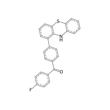 O=C(c1ccc(F)cc1)c1ccc(-c2cccc3c2Nc2ccccc2S3)cc1